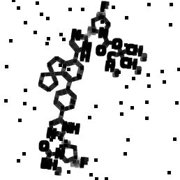 BC(=O)N1C[C@@H](F)C[C@H]1c1ncc(-c2ccc(-c3ccc(-c4cnc([C@@H]5C[C@H](F)CN5C(=O)OC(C)(C)C)[nH]4)c4c3C3(CCCC3)CC4)cc2)[nH]1